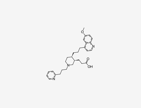 COc1ccc2nccc(CCC[C@@H]3CCN(CCCc4ccccn4)C[C@@H]3CCC(=O)O)c2c1